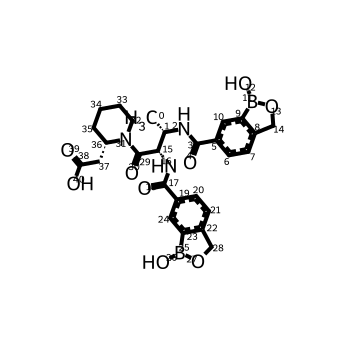 C[C@H](NC(=O)c1ccc2c(c1)B(O)OC2)[C@H](NC(=O)c1ccc2c(c1)B(O)OC2)C(=O)N1CCCC[C@H]1CC(=O)O